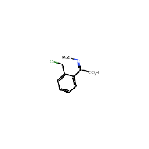 CO/N=C(/C(=O)O)c1ccccc1CCl